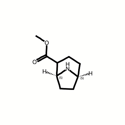 COC(=O)C1CC[C@H]2CC[C@@H]1N2